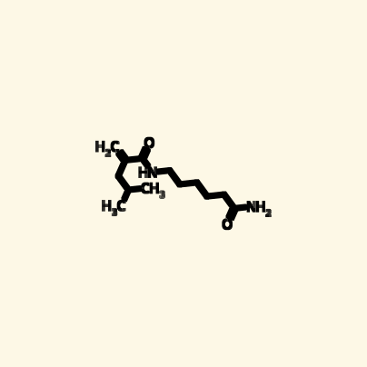 C=C(CC(C)C)C(=O)NCCCCCC(N)=O